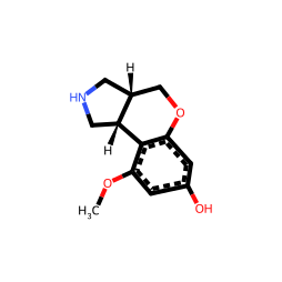 COc1cc(O)cc2c1[C@@H]1CNC[C@@H]1CO2